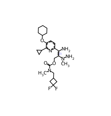 CN(CC1CC(F)(F)C1)C(=O)OC/C(=C(/N)c1ccc(OC2CCCCC2)c(C2CC2)n1)N(C)N